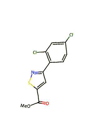 COC(=O)c1cc(-c2ccc(Cl)cc2Cl)ns1